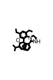 CCc1cc(CC)c(N2CCNC2c2ccccc2)c2c1OC1C(C(C)C)=CC=CC21